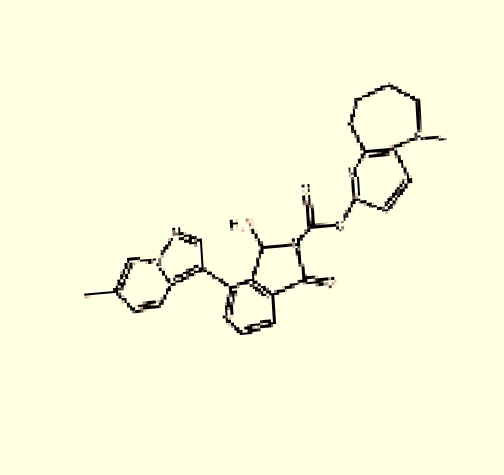 Cc1ccc2c(-c3cccc4c3C(N)N(C(=O)Oc3ccc5c(n3)CCCCN5C)C4=O)cnn2c1